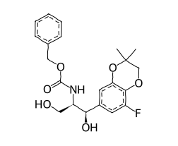 CC1(C)COc2c(F)cc([C@@H](O)[C@@H](CO)NC(=O)OCc3ccccc3)cc2O1